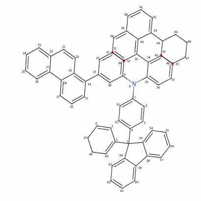 C1=CC(C2(c3ccc(N(c4cccc(-c5cccc6c5ccc5ccccc56)c4)c4ccccc4-c4cccc5cccc(C6CCCCC6)c45)cc3)c3ccccc3-c3ccccc32)=CCC1